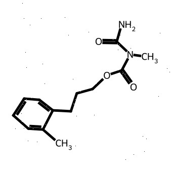 Cc1ccccc1CCCOC(=O)N(C)C(N)=O